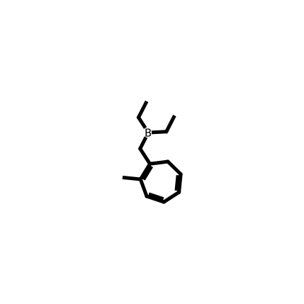 CCB(CC)CC1=C(C)C=CC=CC1